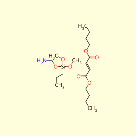 CCCCOC(=O)C=CC(=O)OCCCC.CCC[Si](OC)(OC)OCN